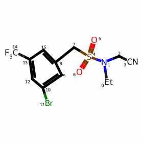 CCN(CC#N)S(=O)(=O)Cc1cc(Br)cc(C(F)(F)F)c1